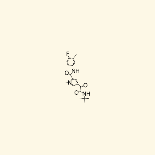 Cc1cc(NC(=O)c2cc(C(=O)C(=O)NC(C)(C)C)cn2C)ccc1F